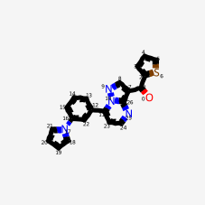 O=C(c1cccs1)c1cnn2c(-c3cccc(-n4cccc4)c3)ccnc12